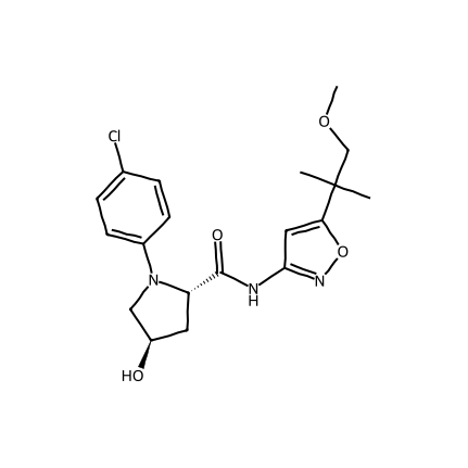 COCC(C)(C)c1cc(NC(=O)[C@@H]2C[C@@H](O)CN2c2ccc(Cl)cc2)no1